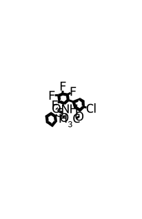 COc1cc(-c2c(F)c(F)c(F)c(F)c2NS(=O)(=O)c2ccccc2)ccc1Cl